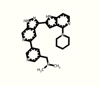 CN(C)Cc1cncc(-c2cc3c(-c4cc5c(N6CCCCC6)nccc5[nH]4)n[nH]c3cn2)c1